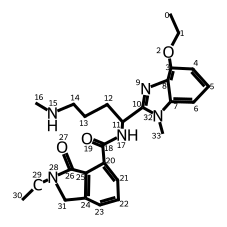 CCOc1cccc2c1nc(C(CCCNC)NC(=O)c1cccc3c1C(=O)N(CC)C3)n2C